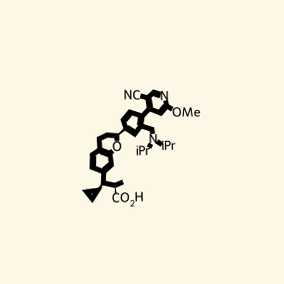 COc1cc(-c2ccc([C@@H]3CCc4ccc([C@H](C5CC5)[C@H](C)C(=O)O)cc4O3)cc2CN(C(C)C)C(C)C)c(C#N)cn1